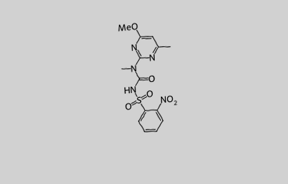 COc1cc(C)nc(N(C)C(=O)NS(=O)(=O)c2ccccc2[N+](=O)[O-])n1